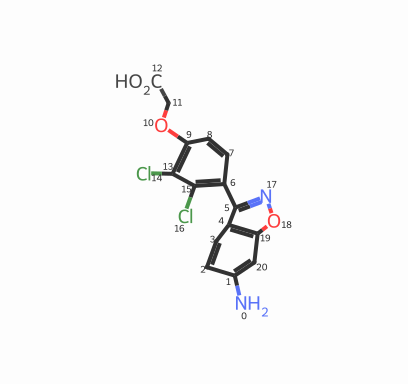 Nc1ccc2c(-c3ccc(OCC(=O)O)c(Cl)c3Cl)noc2c1